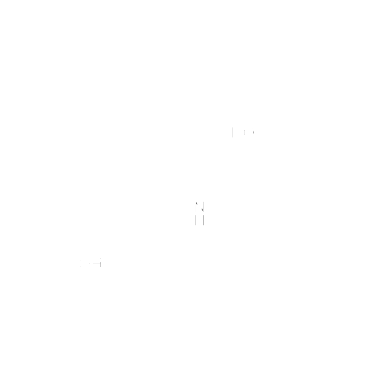 Oc1ccccc1CCNCCc1ccccc1O